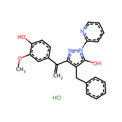 C=C(c1ccc(O)c(OC)c1)c1nn(-c2ccccn2)c(O)c1Cc1ccccc1.Cl